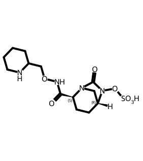 O=C(NOCC1CCCCN1)[C@@H]1CC[C@@H]2CN1C(=O)N2OS(=O)(=O)O